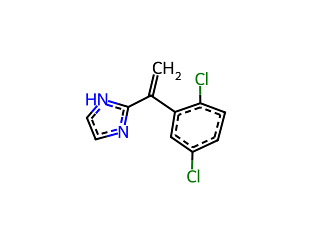 C=C(c1ncc[nH]1)c1cc(Cl)ccc1Cl